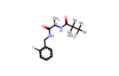 [2H]C([2H])(C(=O)O)C([2H])([2H])C(=O)N[C@H](C)C(=O)NCc1ccccc1F